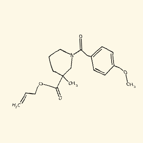 C=CCOC(=O)C1(C)CCCN(C(=O)c2ccc(OC)cc2)C1